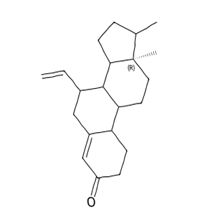 C=CC1CC2=CC(=O)CCC2C2CC[C@]3(C)C(C)CCC3C12